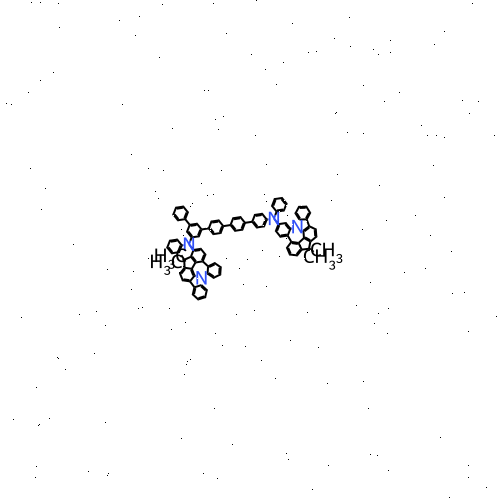 CC1(C)c2cccc3c2-c2c1ccc1c4ccccc4n(c21)-c1cc(N(c2ccccc2)c2ccc(-c4ccc(-c5ccc(-c6cc(-c7ccccc7)cc(N(c7ccccc7)c7ccc8c9c7C(C)(C)c7ccc%10c%11ccccc%11n(c%10c7-9)-c7ccccc7-8)c6)cc5)cc4)cc2)ccc1-3